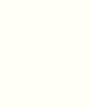 C#CCn1c(=O)[nH]c2c(O)cccc2c1=O